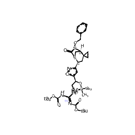 CC(C)(C)OC(=O)/N=C(\NCC(O[Si](C)(C)C(C)(C)C)c1cc([C@@H]2CC3(CC3)[C@H]3CN2C(=O)N3OCc2ccccc2)no1)NC(=O)OC(C)(C)C